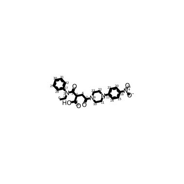 CCN(C(=O)C(CC(=O)N1CCN(c2ccc([N+](=O)[O-])cc2)CC1)C(=O)O)c1ccccc1